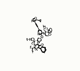 C[C@@H]1N(c2cc(C#Cc3ncoc3C3CC3)cnc2O[C@H]2C[C@@H](C(=O)O)N(c3nc(C(F)F)nc4c3oc3ccccc34)C2)CCOC12COC2